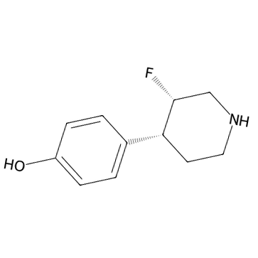 Oc1ccc([C@H]2CCNC[C@H]2F)cc1